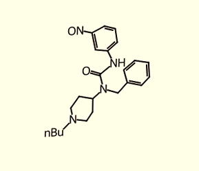 CCCCN1CCC(N(Cc2ccccc2)C(=O)Nc2cccc(N=O)c2)CC1